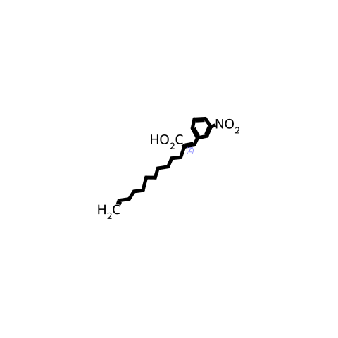 C=CCCCCCCCCC/C(=C/c1cccc([N+](=O)[O-])c1)C(=O)O